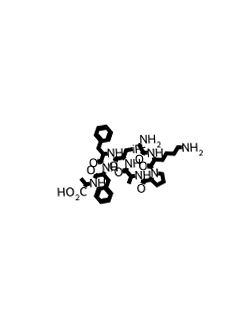 CC(C)CC(NC(=O)C(C)NC(=O)C1CCCN1C(=O)C(CCCCN)NC(=O)CN)C(=O)NC(Cc1ccccc1)C(=O)NC(Cc1ccccc1)C(=O)NC(C)C(=O)O